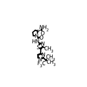 Cc1nc(NC(=O)N2CCC[C@H]2C(N)=O)sc1-c1ccnc(C(C)(C)C(F)(F)F)n1